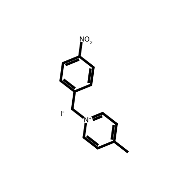 Cc1cc[n+](Cc2ccc([N+](=O)[O-])cc2)cc1.[I-]